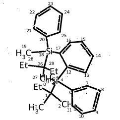 CCC(C)(C)[Si](C)(c1ccccc1)c1ccccc1[Si](C)(c1ccccc1)C(C)(CC)CC